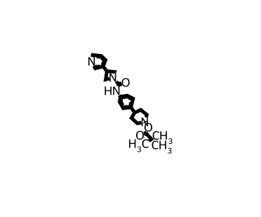 CC(C)(C)C(=O)ON1CCC(c2ccc(NC(=O)N3CC(c4cccnc4)C3)cc2)CC1